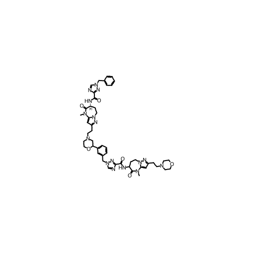 CN1C(=O)C(NC(=O)c2ncn(Cc3cccc(C4CN(CCc5cc6n(n5)CC[C@@H](NC(=O)c5ncn(Cc7ccccc7)n5)C(=O)N6C)CCO4)c3)n2)CCn2nc(CCN3CCOCC3)cc21